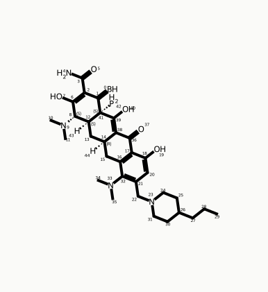 B=C1C(C(N)=O)=C(O)[C@@H](N(C)C)[C@@H]2C[C@@H]3Cc4c(c(O)cc(CN5CCC(CCC)CC5)c4N(C)C)C(=O)C3=C(O)[C@]12P